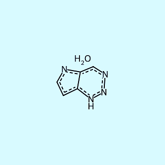 O.c1cc2[nH]nncc-2n1